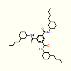 CCCCC1CCCC(NC(=O)c2cc(C(=O)NC3CCCC(CCCC)C3)cc(C(=O)NC3CCCC(CCCC)C3)c2)C1